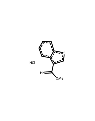 COC(=N)c1csc2ccccc12.Cl